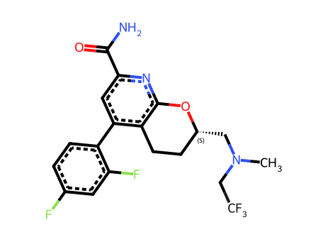 CN(C[C@@H]1CCc2c(-c3ccc(F)cc3F)cc(C(N)=O)nc2O1)CC(F)(F)F